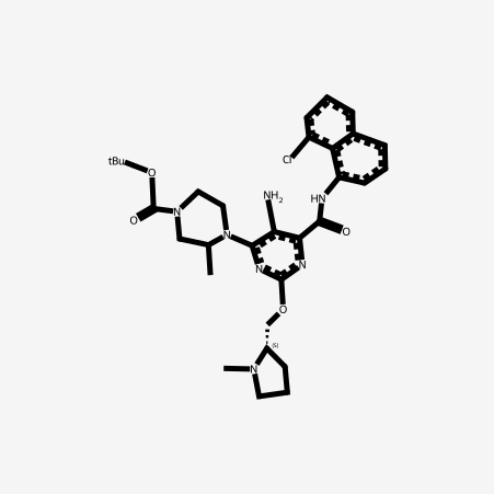 CC1CN(C(=O)OC(C)(C)C)CCN1c1nc(OC[C@@H]2CCCN2C)nc(C(=O)Nc2cccc3cccc(Cl)c23)c1N